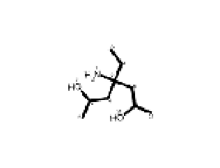 [CH2]CC(N)(CC(C)O)CC(C)O